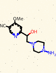 COc1cc(C(O)CN2CCN(N)CC2)ncc1C#N